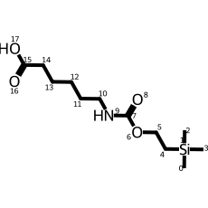 C[Si](C)(C)CCOC(=O)NCCCCCC(=O)O